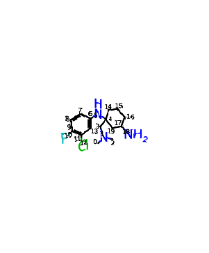 CN(C)CC1(Nc2ccc(F)c(Cl)c2)CCCC(N)C1